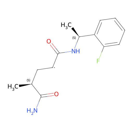 C[C@H](NC(=O)[CH]C[C@H](C)C(N)=O)c1ccccc1F